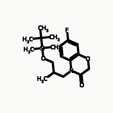 CC(CO[Si](C)(C)C(C)(C)C)CN1C(=O)COc2cc(F)ccc21